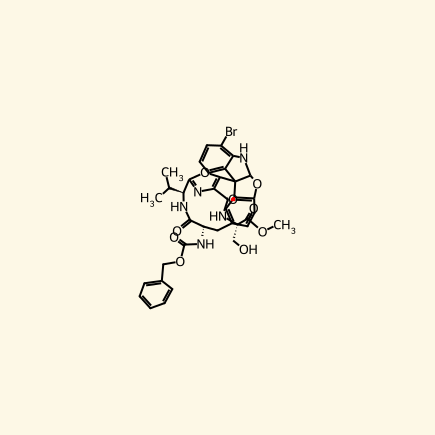 COC(=O)[C@H](CO)NC(=O)c1nc2oc1C13c4cc(ccc4OC1Nc1c(Br)cccc13)C[C@H](NC(=O)OCc1ccccc1)C(=O)N[C@H]2C(C)C